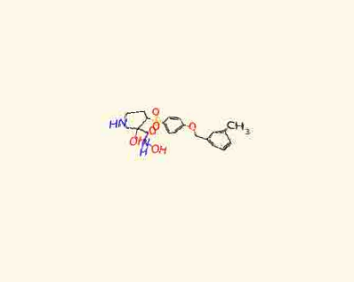 Cc1cccc(COc2ccc(S(=O)(=O)C3CCNCC3(O)C(=O)NO)cc2)c1